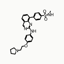 CNS(=O)(=O)c1ccc(-c2cccc3cnc(Nc4ccc(OCCN5CCCC5)cc4)nc23)cc1